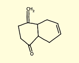 C=C1CCC(=O)C2CC=CCC12